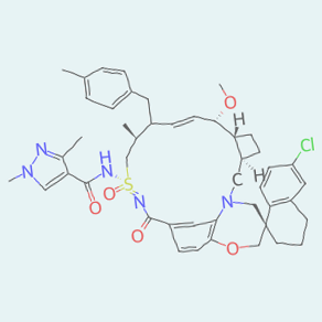 CO[C@H]1/C=C/C(Cc2ccc(C)cc2)[C@H](C)C[S@@](=O)(NC(=O)c2cn(C)nc2C)=NC(=O)c2ccc3c(c2)N(C[C@@H]2CC[C@H]21)C[C@@]1(CCCc2cc(Cl)ccc21)CO3